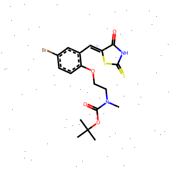 CN(CCOc1ccc(Br)cc1/C=C1\SC(=S)NC1=O)C(=O)OC(C)(C)C